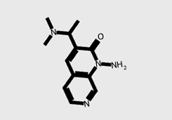 CC(c1cc2ccncc2n(N)c1=O)N(C)C